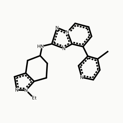 CCn1ncc2c1CCC(Nc1nc3c(-c4cnccc4C)cccn3n1)C2